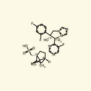 CC1(C)[C@@H]2CC[C@]1(CS(=O)(=O)O)C(=O)C2.C[C@@H](c1ncncc1F)[C@](O)(Cn1cncn1)c1ccc(F)cc1F